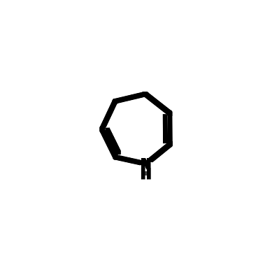 C1=CNC=CCC1